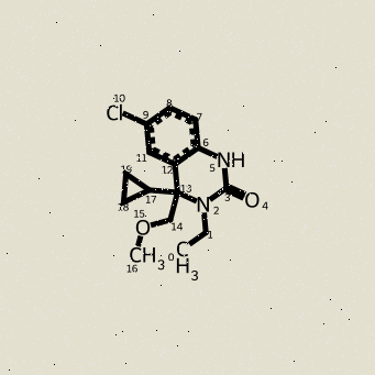 CCN1C(=O)Nc2ccc(Cl)cc2C1(COC)C1CC1